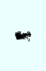 COC(=O)CCc1ccc(COc2nc(-c3cc(Cl)c4ncccc4c3)c(-c3ccn(C)n3)nc2N)nc1